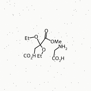 CCOC(CC(=O)O)(OCC)C(=O)OC.NCC(=O)O